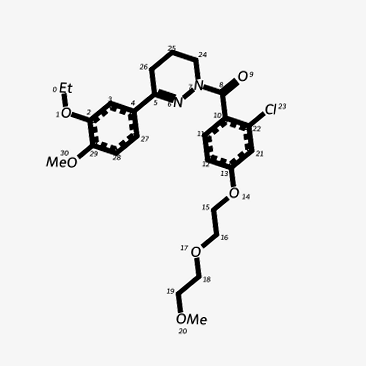 CCOc1cc(C2=NN(C(=O)c3ccc(OCCOCCOC)cc3Cl)CCC2)ccc1OC